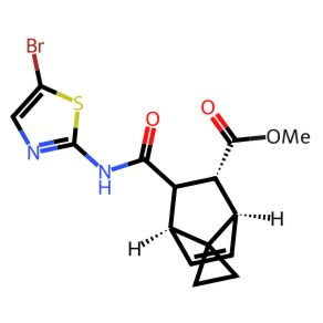 COC(=O)[C@H]1C(C(=O)Nc2ncc(Br)s2)[C@@H]2C=C[C@H]1C21CC1